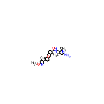 COc1cc(C)c(-c2ccc3c(c2)C2OC3c3cc(C(=O)NCc4c(C)cc(N)nc4C)ccc32)cn1